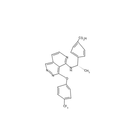 C[C@H](Nc1nccc2cnnc(Oc3ccc(C(F)(F)F)cc3)c12)c1ccc(C(=O)O)cc1